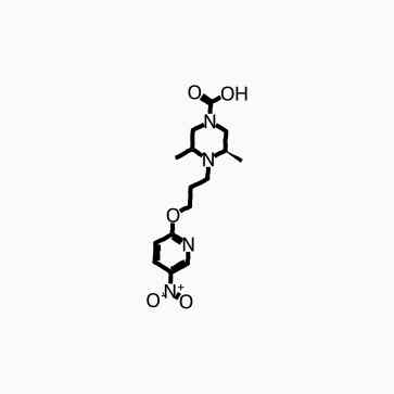 CC1CN(C(=O)O)C[C@@H](C)N1CCCOc1ccc([N+](=O)[O-])cn1